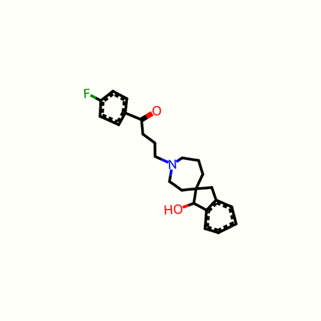 O=C(CCCN1CCCC2(CC1)Cc1ccccc1C2O)c1ccc(F)cc1